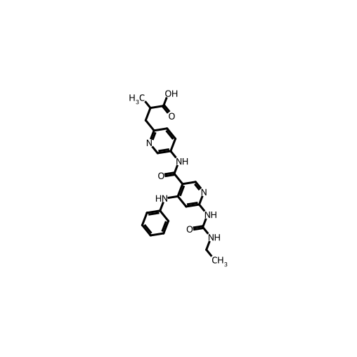 CCNC(=O)Nc1cc(Nc2ccccc2)c(C(=O)Nc2ccc(CC(C)C(=O)O)nc2)cn1